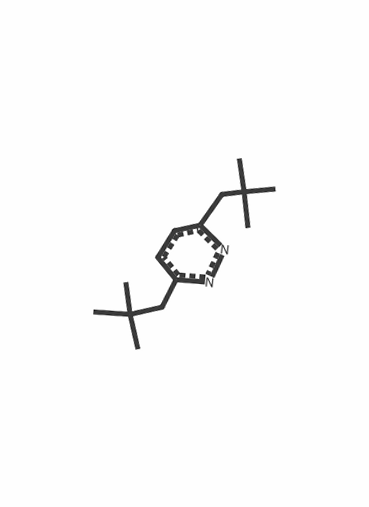 CC(C)(C)Cc1ccc(CC(C)(C)C)nn1